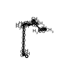 COc1cc2c(cc1OCCCCCOc1cc3c(cc1OC)C(=O)N1C=C(C)C[C@H]1[C@H](O)N3C(=O)OCc1ccc(NC(=O)[C@H](C)NC(=O)[C@@H](NC(=O)CCOCCOCCOCCOCCOCCOCCOCCOCCNC(=O)CCN3C(=N)C(C4CCCCCCC4)CC3=O)C(C)C)cc1)N=C[C@@H]1CC(C)=CN1C2=O